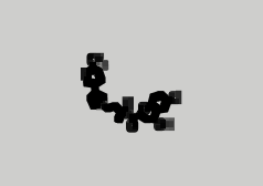 C=C(CCn1ccc(-c2ccc(C(F)(F)F)nc2)c1)NC(=O)[C@@H]1C[C@@H](O)c2cc(Cl)ccc2O1